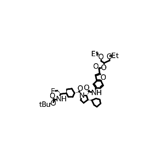 CCOCC(COCC)OC(=O)c1cc2cc(NC(=O)[C@@H]3[C@H](C4CCCCC4)CCN3C(=O)[C@H]3CC[C@H]([C@@H](CF)NC(=O)OC(C)(C)C)CC3)ccc2o1